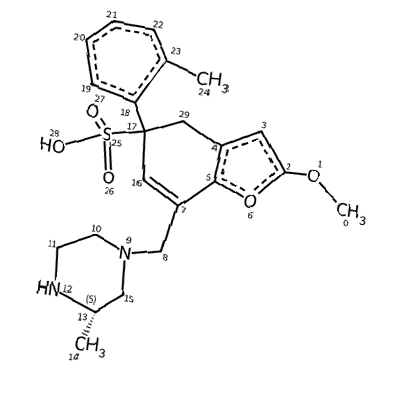 COc1cc2c(o1)C(CN1CCN[C@@H](C)C1)=CC(c1ccccc1C)(S(=O)(=O)O)C2